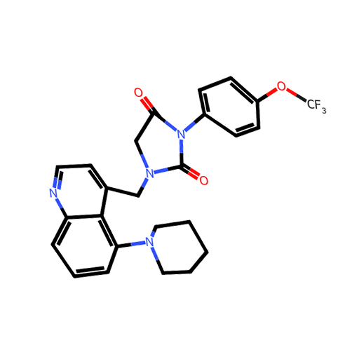 O=C1CN(Cc2ccnc3cccc(N4CCCCC4)c23)C(=O)N1c1ccc(OC(F)(F)F)cc1